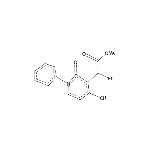 CCC(C(=O)OC)c1c(C)ccn(-c2ccccc2)c1=O